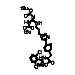 COC(=O)[C@H](Cc1ccc(-c2cn(CCCN/C(=N/C(=O)OC(C)(C)C)NC(=O)OC(C)(C)C)nn2)cc1)NC(=O)c1c(Cl)cccc1Cl